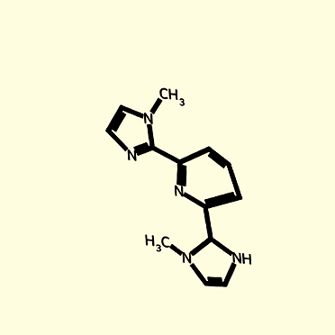 CN1C=CNC1c1cccc(-c2nccn2C)n1